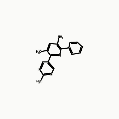 Cc1ncc(-c2nc(-c3ccccc3)c(N)cc2C)cn1